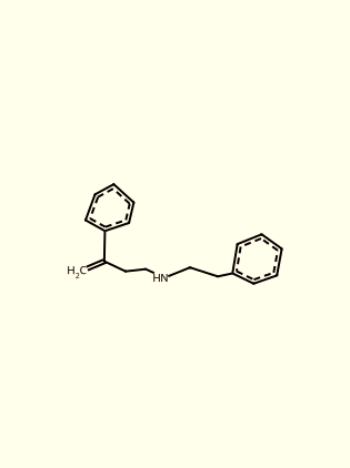 C=C(CCNCCc1ccccc1)c1ccccc1